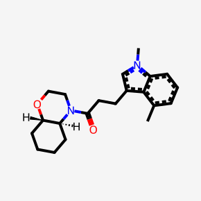 Cc1cccc2c1c(CCC(=O)N1CCO[C@H]3CCCC[C@@H]31)cn2C